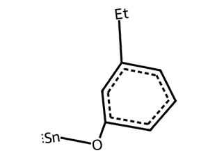 CCc1cccc([O][Sn])c1